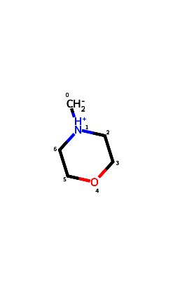 [CH2-][NH+]1CCOCC1